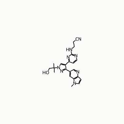 Cn1ccc2ncc(-c3nn(C(C)(C)CO)cc3-c3ccnc(NCCC#N)n3)cc21